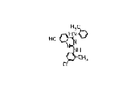 Cc1cc(Cl)ccc1Nc1nc(Nc2ccccc2C)c2ccccc2n1.Cl